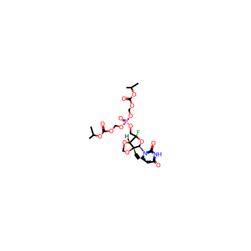 C#C[C@@]12OCO[C@@H]1[C@@](F)(COP(=O)(OCOC(=O)OC(C)C)OCOC(=O)OC(C)C)O[C@H]2n1ccc(=O)[nH]c1=O